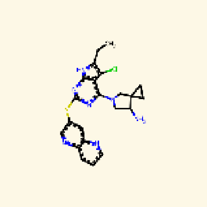 CCc1[nH]c2nc(Sc3cnc4cccnc4c3)nc(N3CC(N)C4(CC4)C3)c2c1Cl